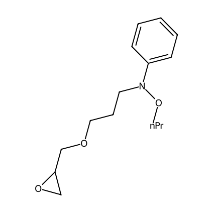 CCCON(CCCOCC1CO1)c1ccccc1